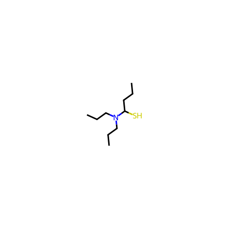 CCCC(S)N(CCC)CCC